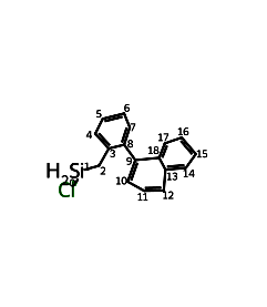 Cl[SiH2]Cc1ccccc1-c1cccc2ccccc12